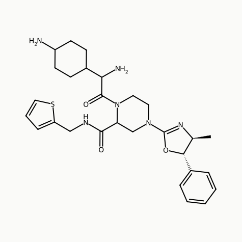 C[C@@H]1N=C(N2CCN(C(=O)C(N)C3CCC(N)CC3)C(C(=O)NCc3cccs3)C2)O[C@H]1c1ccccc1